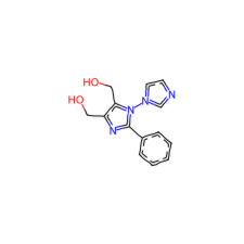 OCc1nc(-c2ccccc2)n(-n2ccnc2)c1CO